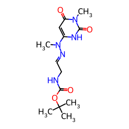 CN(N=CCNC(=O)OC(C)(C)C)c1cc(=O)n(C)c(=O)[nH]1